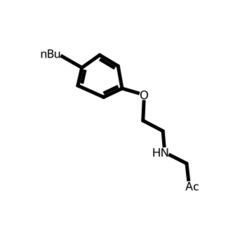 CCCCc1ccc(OCCNCC(C)=O)cc1